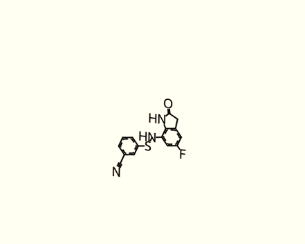 N#Cc1cccc(SNc2cc(F)cc3c2NC(=O)C3)c1